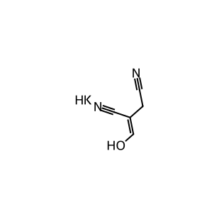 N#CC/C(C#N)=C/O.[KH]